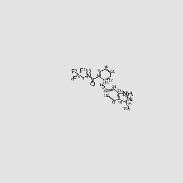 O=C(NCC(F)(F)F)c1ccccc1Sc1ccc2c(I)n[nH]c2c1